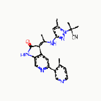 CC(Nc1cc(C)n(C(C)(C)C#N)n1)=C1C(=O)Nc2cnc(-c3cnccc3C)cc21